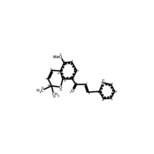 COc1ccc(C(=O)/C=C/c2ccccn2)c2c1C=CC(C)(C)O2